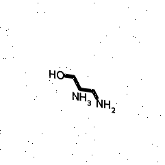 N.NCCCO